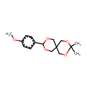 COc1ccc(C2OCC3(CO2)COC(C)(C)OC3)cc1